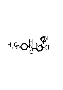 COC1CCC(NC(=O)c2ccc(Cl)c(-n3ccnc3)n2)CC1